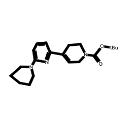 CC(C)(C)OC(=O)N1CC=C(c2cccc(N3CCCCC3)n2)CC1